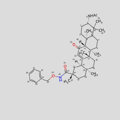 CC(=O)N[C@H]1CC[C@@]2(C)C(CC[C@]3(C)[C@@H]2C(=O)C=C2[C@@H]4C[C@@](C)(C(=O)NOCc5ccccc5)CC[C@]4(C)CC[C@]23C)C1(C)C